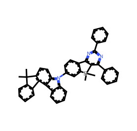 CC1(C)c2ccccc2-c2c1ccc1c2c2ccccc2n1-c1ccc2c(c1)[Si](C)(C)c1c(-c3ccccc3)nc(-c3ccccc3)nc1-2